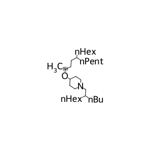 CCCCCCC(CCCCC)CC[C@@H](C)OC1CCN(CC(CCCC)CCCCCC)CC1